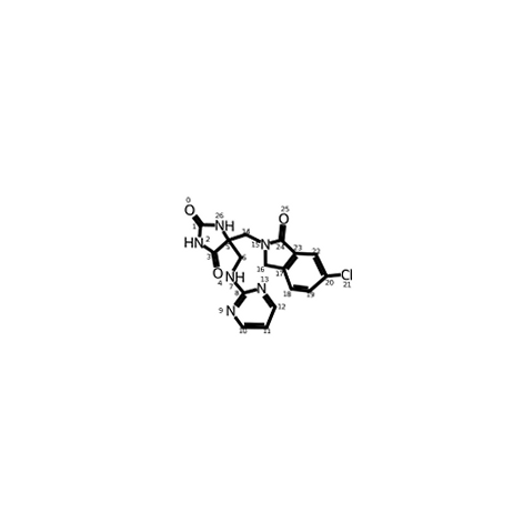 O=C1NC(=O)C(CNc2ncccn2)(CN2Cc3ccc(Cl)cc3C2=O)N1